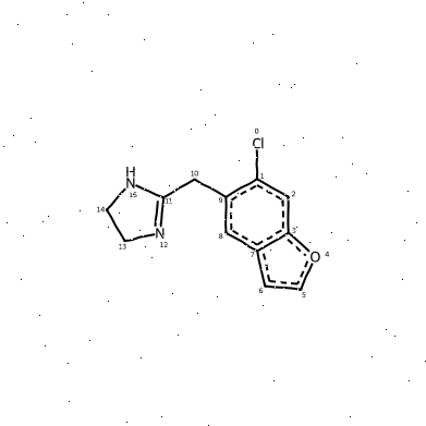 Clc1cc2occc2cc1CC1=NCCN1